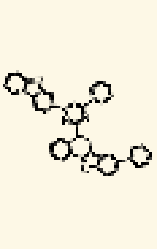 c1ccc(-c2ccc3oc4c(c3c2)CC(c2nc(-c3ccccc3)cc(-c3ccc5c(c3)oc3ccccc35)n2)c2ccccc2-4)cc1